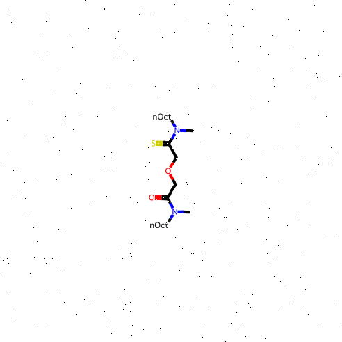 CCCCCCCCN(C)C(=O)COCC(=S)N(C)CCCCCCCC